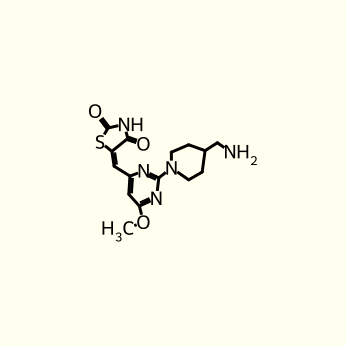 COc1cc(/C=C2/SC(=O)NC2=O)nc(N2CCC(CN)CC2)n1